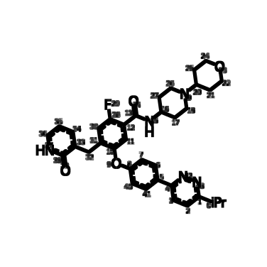 CC(C)c1ccc(-c2ccc(Oc3cc(C(=O)NC4CCN(C5CCOCC5)CC4)c(F)cc3Cc3ccc[nH]c3=O)cc2)nn1